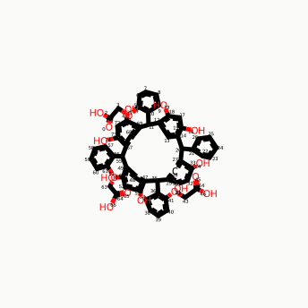 O=C(O)COc1ccccc1C1c2cc(c(O)cc2O)C(c2ccccc2)c2cc(c(O)cc2O)C(c2ccccc2OCC(=O)O)c2cc(c(O)cc2O)C(c2ccccc2OCC(=O)O)c2cc1c(O)cc2O